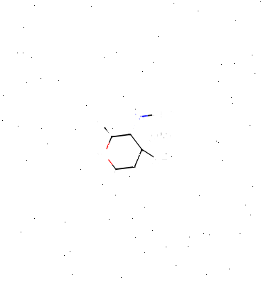 CO[C@]1(C)CCO[C@@H](C)[C@@H]1NC=O